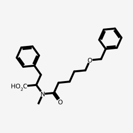 CN(C(=O)CCCCOCc1ccccc1)C(Cc1ccccc1)C(=O)O